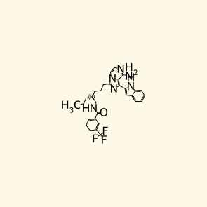 CCC[C@H](CCCc1nc(-c2cc3ccccc3[nH]2)c2c(N)nccn12)CNC(=O)C1=CCCC(C(F)(F)F)=C1